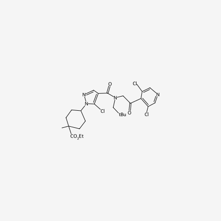 CCOC(=O)C1(C)CCC(n2ncc(C(=O)N(CC(=O)c3c(Cl)cncc3Cl)CC(C)(C)C)c2Cl)CC1